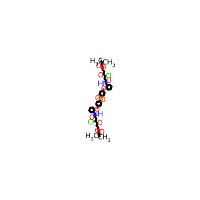 C=C(C)C(=O)OCCC(=O)C(Cl)CC(=O)Nc1ccccc1Oc1ccc(S(=O)(=O)c2ccc(Oc3ccccc3NC(=O)CC(Cl)C(=O)CCOC(=O)C(=C)C)cc2)cc1